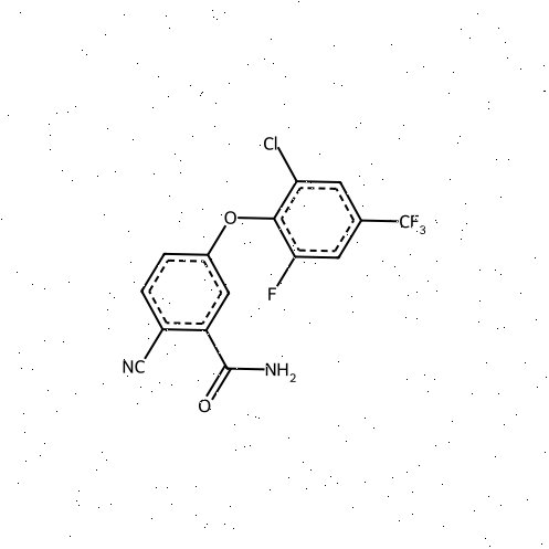 N#Cc1ccc(Oc2c(F)cc(C(F)(F)F)cc2Cl)cc1C(N)=O